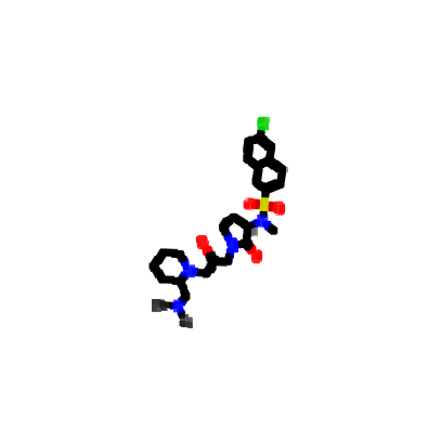 CCN(CC)CC1CCCCN1CC(=O)CN1CC[C@@H](N(C)S(=O)(=O)c2ccc3cc(Cl)ccc3c2)C1=O